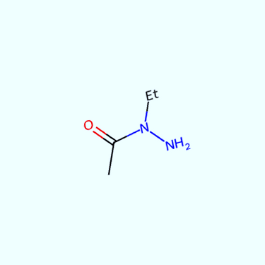 CCN(N)C(C)=O